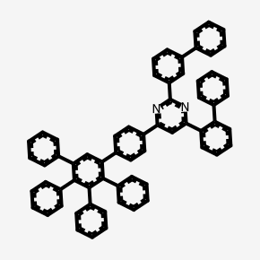 c1ccc(-c2cccc(-c3nc(-c4ccc(-c5cc(-c6ccccc6)c(-c6ccccc6)c(-c6ccccc6)c5-c5ccccc5)cc4)cc(-c4ccccc4-c4ccccc4)n3)c2)cc1